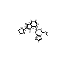 COCCN(Sc1cccs1)c1cccc2cc(C3=NCCS3)[nH]c12